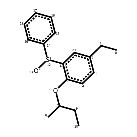 CCc1ccc(OC(C)CC)c([S+]([O-])c2ccccc2)c1